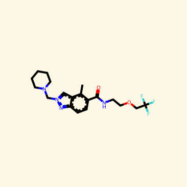 Cc1c(C(=O)NCCOCC(F)(F)F)ccc2nn(CN3CCCCC3)cc12